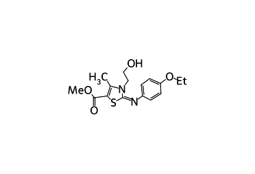 CCOc1ccc(/N=c2/sc(C(=O)OC)c(C)n2CCO)cc1